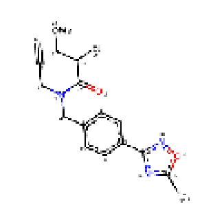 C#CCN(Cc1ccc(-c2noc(C(F)(F)F)n2)cc1)C(=O)C(CC)COC